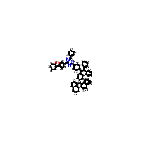 c1ccc(C(=C(c2ccc(B(c3cccc4ccccc34)c3cccc4ccccc34)cc2)c2ccc(-c3nc(-c4ccccc4)nc(-c4ccc5c(c4)oc4ccccc45)n3)cc2)c2ccccc2)cc1